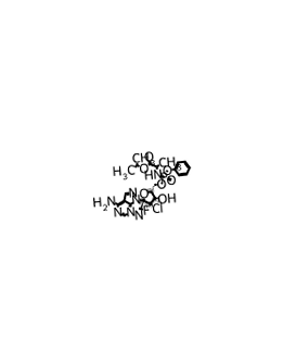 CC(C)OC(=O)C(C)NP(=O)(OC[C@H]1O[C@@](C#N)(n2ncc3c(N)ncnc32)[C@@](F)(Cl)[C@@H]1O)Oc1ccccc1